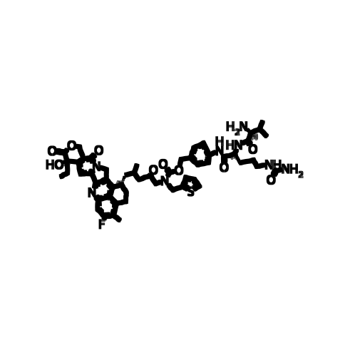 CC[C@]1(O)C(=O)OCc2c1cc1n(c2=O)Cc2c-1nc1cc(F)c(C)c3c1c2[C@H](CC(C)CC(=O)CN(Cc1cccs1)C(=O)OCc1ccc(NC(=O)[C@H](CCCNC(N)=O)NC(=O)[C@@H](N)C(C)C)cc1)CC3